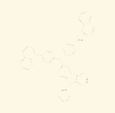 c1ccc(-n2c3ccccc3c3cc(N(c4ccc(-c5nc6ccc7ccccc7c6o5)cc4)c4ccc(-c5cccc6ccccc56)cc4)ccc32)cc1